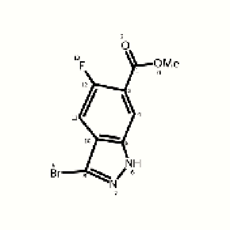 COC(=O)c1cc2[nH]nc(Br)c2cc1F